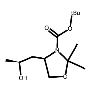 C[C@H](O)CC1COC(C)(C)N1C(=O)OC(C)(C)C